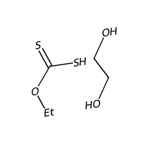 CCOC(=S)S.OCCO